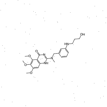 COc1cc2[nH]c(N(C)Cc3cccc(NCCCO)c3)nc(=O)c2c(OC)c1OC